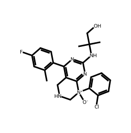 Cc1cc(F)ccc1-c1nc(NC(C)(C)CO)nc2c1CNC[N+]2([O-])c1ccccc1Cl